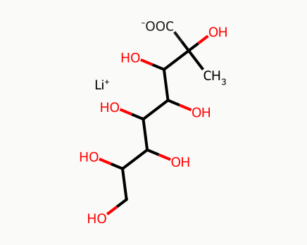 CC(O)(C(=O)[O-])C(O)C(O)C(O)C(O)C(O)CO.[Li+]